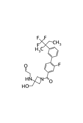 CCC(C)(c1cccc(-c2ccc(C(=O)N3CC(CO)(NCC=O)C3)cc2F)c1)C(F)(F)F